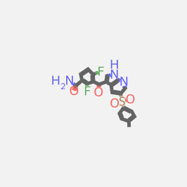 Cc1ccc(S(=O)(=O)c2cnc3[nH]cc(C(=O)c4c(F)ccc(C(N)=O)c4F)c3c2)cc1